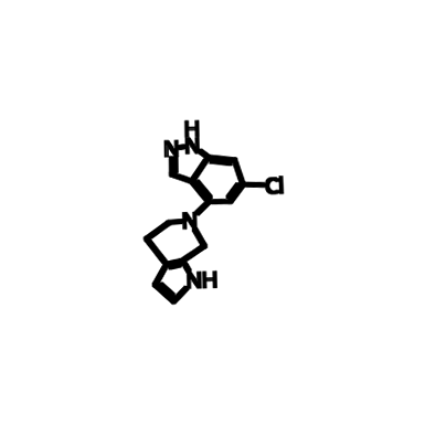 Clc1cc(N2CCc3cc[nH]c3C2)c2cn[nH]c2c1